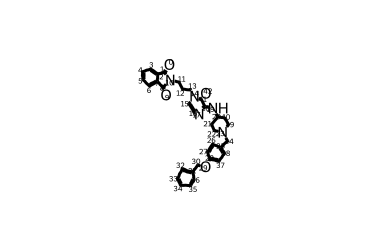 O=C1c2ccccc2C(=O)N1CCCn1ccnc(NC2CCN(Cc3ccc(OCc4ccccc4)cc3)CC2)c1=O